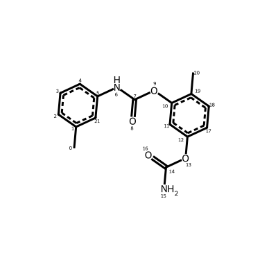 Cc1cccc(NC(=O)Oc2cc(OC(N)=O)ccc2C)c1